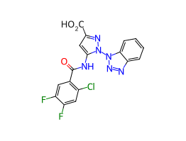 O=C(O)c1cc(NC(=O)c2cc(F)c(F)cc2Cl)n(-n2nnc3ccccc32)n1